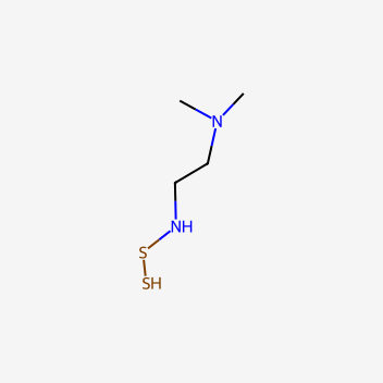 CN(C)CCNSS